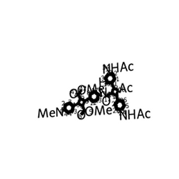 CNc1ccc(C2C(C(=O)OC)C(c3ccc(NC(=O)C4C(c5ccc(NC(C)=O)cc5)C(C(C)=O)C4c4ccc(NC(C)=O)cc4)cc3)C2C(=O)OC)cc1